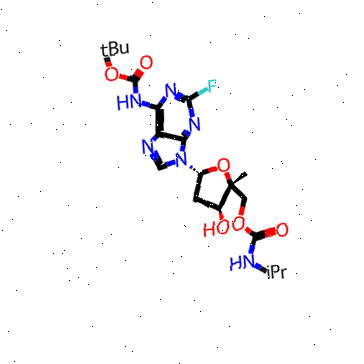 CC(C)NC(=O)OC[C@@]1(C)O[C@@H](n2cnc3c(NC(=O)OC(C)(C)C)nc(F)nc32)C[C@@H]1O